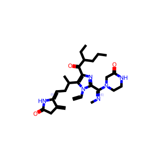 C=Cn1c(/C(=N\C)N2CCNC(=O)C2)nc(C(=O)C(CC)CCC)c1C(C)C/C=C1/NC(=O)CC1=C